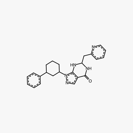 O=C1NC(Cc2ccccn2)Nc2c1cnn2C1CCCC(c2ccccc2)C1